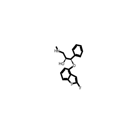 CNC[C@H](O)[C@H](Oc1cccc2sc(F)cc12)c1ccccc1